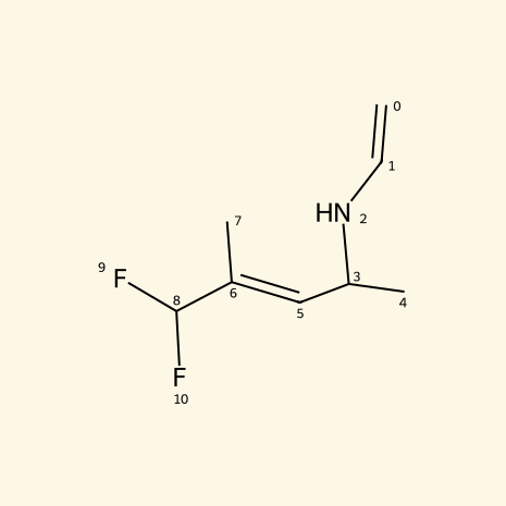 C=CNC(C)/C=C(\C)C(F)F